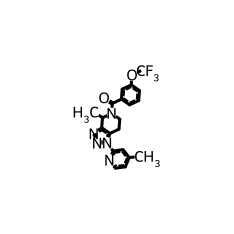 Cc1ccnc(-n2nnc3c2CCN(C(=O)c2cccc(OC(F)(F)F)c2)C3C)c1